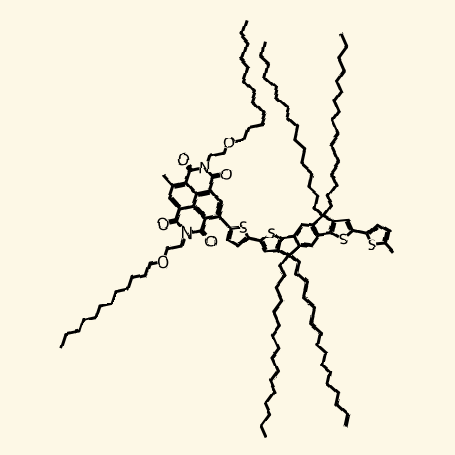 CCCCCCCCCCCCCCCCC1(CCCCCCCCCCCCCCCC)c2cc3c(cc2-c2sc(-c4ccc(C)s4)cc21)C(CCCCCCCCCCCCCCCC)(CCCCCCCCCCCCCCCC)c1cc(-c2ccc(-c4cc5c6c(c(C)cc7c6c4C(=O)N(CCOCCCCCCCCCCCC)C7=O)C(=O)N(CCOCCCCCCCCCCCC)C5=O)s2)sc1-3